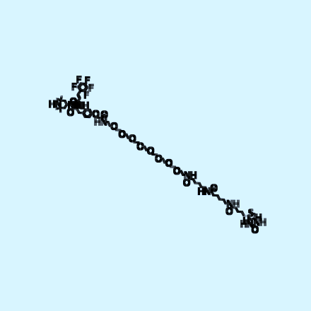 CC1(C)CC(NC(=O)C(Cc2ccc(OCC(=O)NCCOCCOCCOCCOCCOCCOCCOCCOCCNC(=O)CCCCCNC(=O)CCCCCNC(=O)CCCC[C@@H]3SC[C@@H]4NC(=O)N[C@@H]43)cc2)NC(=O)/C=C/c2c(F)c(F)c(F)c(F)c2F)CC(C)(C)N1